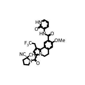 COc1cc2c(cc1C(=O)Nc1ccc[nH]c1=O)-c1c(CC(F)(F)F)cc(C(=O)N3CCC[C@]3(C)C#N)n1CC2